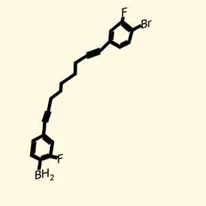 Bc1ccc(C#CCCCCCC#Cc2ccc(Br)c(F)c2)cc1F